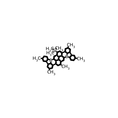 Cc1ccc2c(c1)-c1cc(C)cc3c1B2c1cc2c([Si](C)(C)C)cc4c5c(cc6c(C)cc-3c1c6c25)B1c2ccc(C)cc2-c2cc(C)cc-4c21